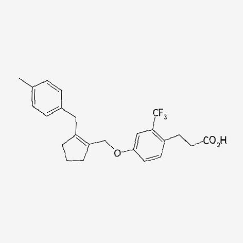 Cc1ccc(CC2=C(COc3ccc(CCC(=O)O)c(C(F)(F)F)c3)CCC2)cc1